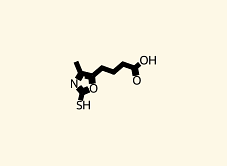 Cc1nc(S)oc1CCCC(=O)O